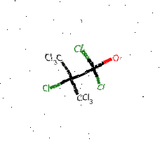 [O]C(Cl)(Cl)C(Cl)(C(Cl)(Cl)Cl)C(Cl)(Cl)Cl